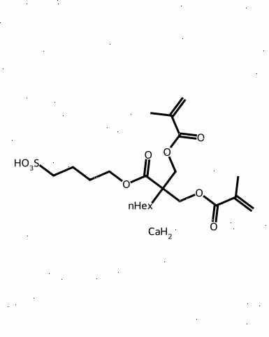 C=C(C)C(=O)OCC(CCCCCC)(COC(=O)C(=C)C)C(=O)OCCCCS(=O)(=O)O.[CaH2]